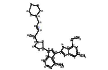 COc1cc(C)cc2cc(-c3cn(C4CCN(C(=O)/C=C/CN5CCCCC5)C4)c4ncnc(N)c34)sc12